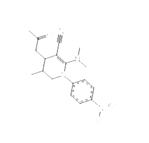 CC(=O)CC1C(C#N)=C(N(C)C)N(c2ccc([N+](=O)[O-])cc2)CC1C